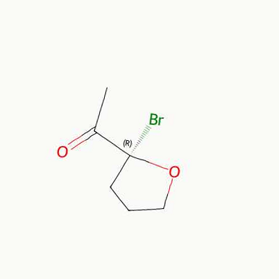 CC(=O)[C@]1(Br)CCCO1